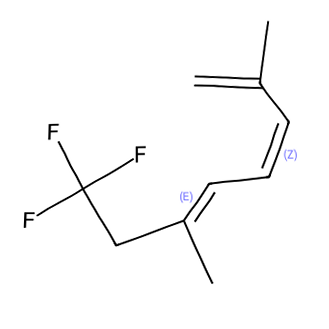 C=C(C)/C=C\C=C(/C)CC(F)(F)F